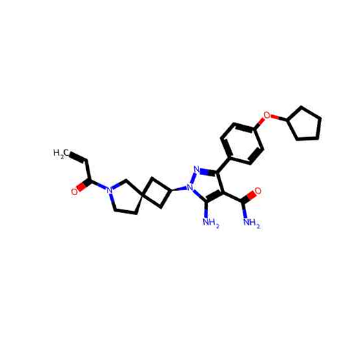 C=CC(=O)N1CC[C@]2(C1)C[C@H](n1nc(-c3ccc(OC4CCCC4)cc3)c(C(N)=O)c1N)C2